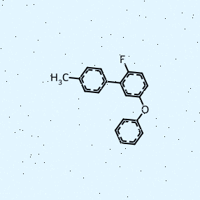 Cc1ccc(-c2cc(Oc3ccccc3)ccc2F)cc1